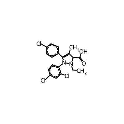 CCN1C(C(=O)O)C(C)=C(c2ccc(Cl)cc2)N1c1ccc(Cl)cc1Cl